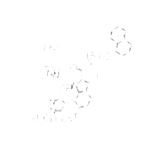 Cc1nn(C)c(C)c1-c1c(Cl)ccc2c(CCCOc3cccc4ccccc34)c(C(=O)OC(C)(C)C)n(CCN3CC4CC(C3)N4)c12.Cl